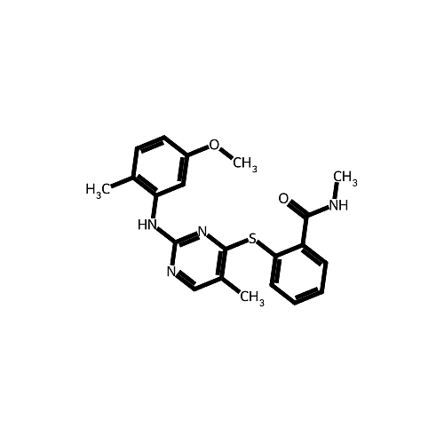 CNC(=O)c1ccccc1Sc1nc(Nc2cc(OC)ccc2C)ncc1C